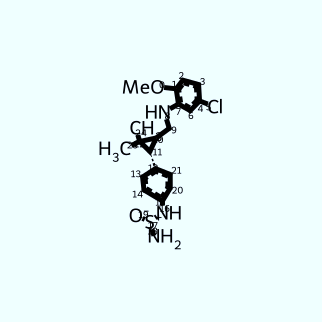 COc1ccc(Cl)cc1NCC1[C@H](c2ccc(N[S+](N)[O-])cc2)C1(C)C